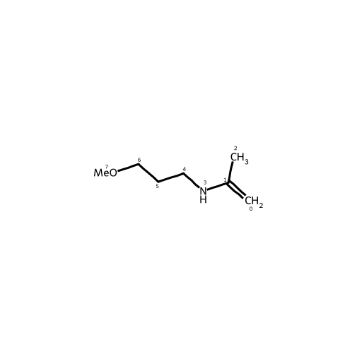 C=C(C)NCCCOC